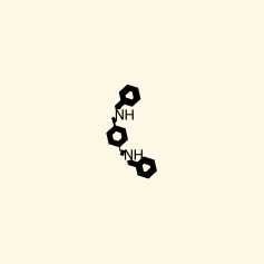 c1ccc(CNC[C@H]2CC[C@H](CNCc3ccccc3)CC2)cc1